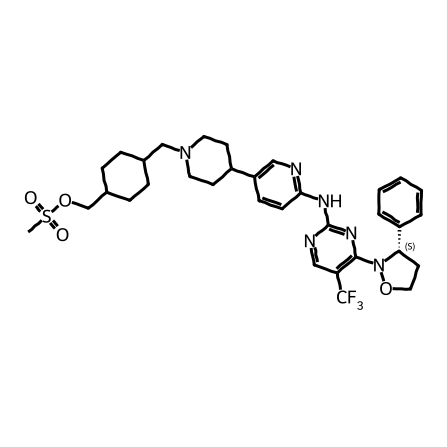 CS(=O)(=O)OCC1CCC(CN2CCC(c3ccc(Nc4ncc(C(F)(F)F)c(N5OCC[C@H]5c5ccccc5)n4)nc3)CC2)CC1